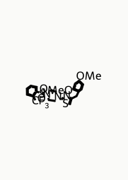 COc1ccc(Cc2csc(N3CCN(S(=O)(=O)c4ccccc4C(F)(F)F)CC3)n2)c(OC)c1